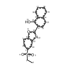 CCS(=O)(=O)c1ccc2oc(-c3ccc4ccccc4c3O)nc2c1